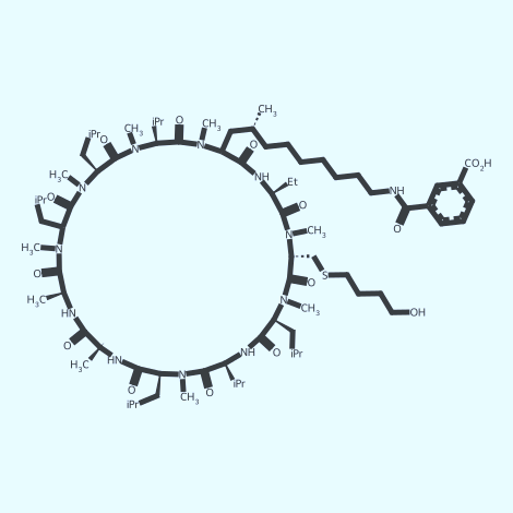 CC[C@@H]1NC(=O)C(C[C@H](C)CCCCCCCNC(=O)c2cccc(C(=O)O)c2)N(C)C(=O)[C@H](C(C)C)N(C)C(=O)[C@H](CC(C)C)N(C)C(=O)C(CC(C)C)N(C)C(=O)[C@H](C)NC(=O)[C@H](C)NC(=O)[C@H](CC(C)C)N(C)C(=O)[C@H](C(C)C)NC(=O)[C@H](CC(C)C)N(C)C(=O)[C@@H](CSCCCCO)N(C)C1=O